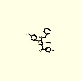 Cc1ccc(C(=O)c2nn(-c3ccc(Cl)cc3)c(NCc3ccccc3)c2C#N)cc1